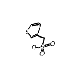 O=S(=O)(Cl)Cc1ccsc1